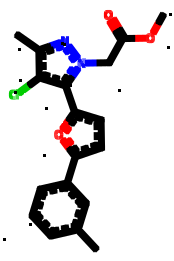 COC(=O)Cn1nc(C)c(Cl)c1-c1ccc(-c2cccc(C)c2)o1